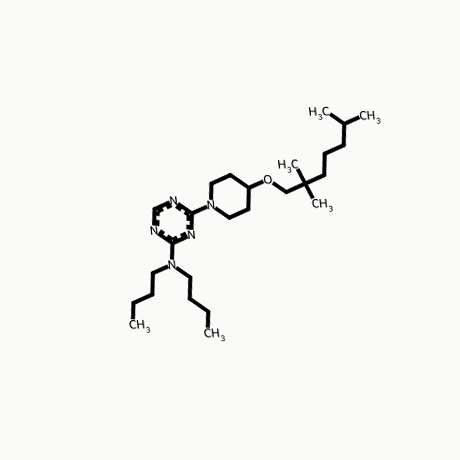 CCCCN(CCCC)c1ncnc(N2CCC(OCC(C)(C)CCCC(C)C)CC2)n1